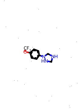 FC(F)(F)Oc1ccc(N2CNCN2)cc1